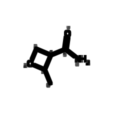 CC1OCC1C(N)=O